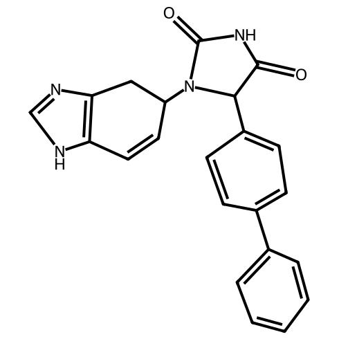 O=C1NC(=O)N(C2C=Cc3[nH]cnc3C2)C1c1ccc(-c2ccccc2)cc1